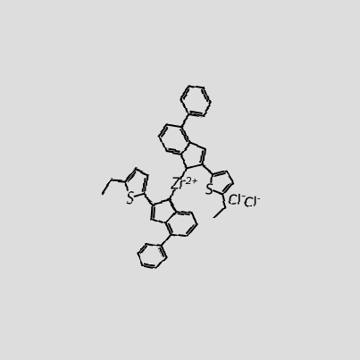 CCc1ccc(C2=Cc3c(-c4ccccc4)cccc3[CH]2[Zr+2][CH]2C(c3ccc(CC)s3)=Cc3c(-c4ccccc4)cccc32)s1.[Cl-].[Cl-]